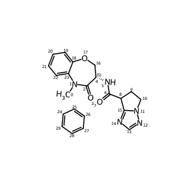 CN1C(=O)[C@@H](NC(=O)C2CCn3ncnc32)COc2ccccc21.c1ccccc1